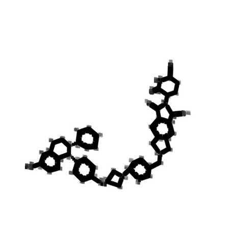 O=C1CCC(N2C(=O)c3cc4c(cc3C2=O)CN(Cc2ccc(N3CC(Nc5ccc([C@@H]6c7ccc(O)cc7CC[C@@H]6c6ccccc6)cc5)C3)nc2)C4)C(=O)N1